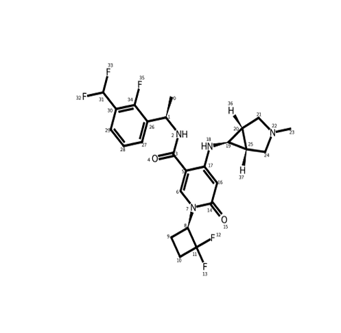 C[C@@H](NC(=O)c1cn([C@@H]2CCC2(F)F)c(=O)cc1N[C@H]1[C@@H]2CN(C)C[C@@H]21)c1cccc(C(F)F)c1F